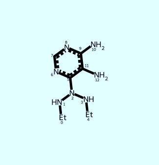 CCNN(NCC)c1ncnc(N)c1N